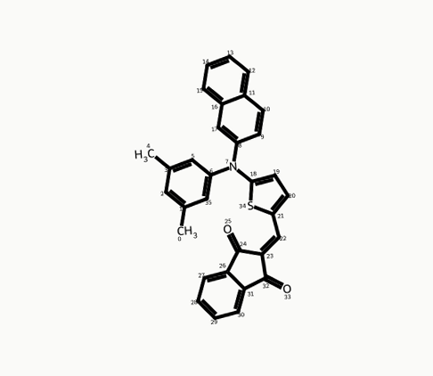 Cc1cc(C)cc(N(c2ccc3ccccc3c2)c2ccc(C=C3C(=O)c4ccccc4C3=O)s2)c1